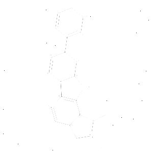 CC1c2c(ccc3c2SC2CC(C4=CCCC=C4)C=CC32)CN1C